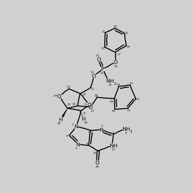 Nc1nc2c(ncn2C2OC3(COP(N)(=O)Oc4ccccc4)CO[C@@H]2[C@@H]3OCc2ccccc2)c(=O)[nH]1